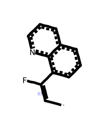 [CH2]/C=C(/F)c1cccc2cccnc12